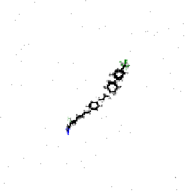 N#C/C(F)=C/C=C/CC[C@H]1CC[C@H](CCCC[C@H]2CC[C@H](c3ccc(C(F)(F)F)cc3)CC2)CC1